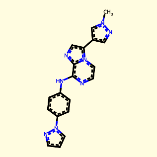 Cn1cc(-c2cnc3c(Nc4ccc(-n5cccn5)cc4)nccn23)cn1